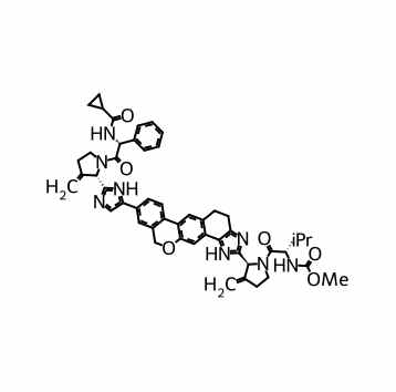 C=C1CCN(C(=O)[C@@H](NC(=O)OC)C(C)C)[C@@H]1c1nc2c([nH]1)-c1cc3c(cc1CC2)-c1ccc(-c2cnc([C@@H]4C(=C)CCN4C(=O)[C@H](NC(=O)C4CC4)c4ccccc4)[nH]2)cc1CO3